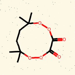 CC1(C)CCC(C)(C)OOC(=O)C(=O)OO1